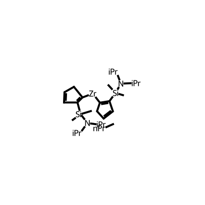 CC(C)N(C(C)C)[Si](C)(C)C1=[C]([Zr][C]2=C([Si](C)(C)N(C(C)C)C(C)C)C=CC2)CC=C1.CCCC